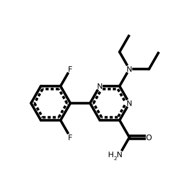 CCN(CC)c1nc(C(N)=O)cc(-c2c(F)cccc2F)n1